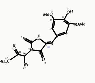 COc1cc(/C=C2\SC(=S)N(C(C(=O)C(=O)O)C(C)C)C2=O)cc(OC)c1O